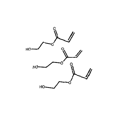 C=CC(=O)OCCO.C=CC(=O)OCCO.C=CC(=O)OCCO